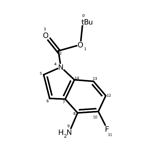 CC(C)(C)OC(=O)n1ccc2c(N)c(F)ccc21